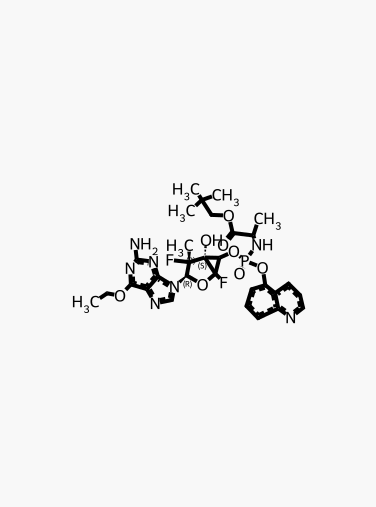 CCOc1nc(N)nc2c1ncn2[C@@H]1OC2(F)C(OP(=O)(NC(C)C(=O)OCC(C)(C)C)Oc3cccc4ncccc34)[C@]2(O)[C@@]1(C)F